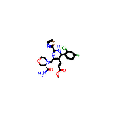 COC(=O)/C=C/C1=C(CN2CCOC[C@H]2C(N)=O)N=C(c2nccs2)NC1c1ccc(F)cc1Cl